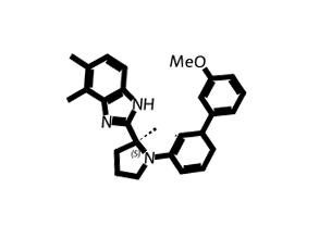 COc1cccc(C2[C]=C(N3CCC[C@@]3(C)c3nc4c(C)c(C)ccc4[nH]3)C=CC2)c1